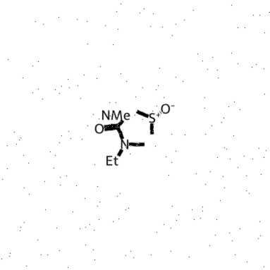 CCN(C)C(=O)NC.C[S+](C)[O-]